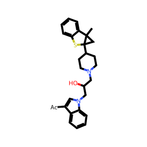 CC(=O)c1cn(CC(O)CN2CCC(C34CC3(C)c3ccccc3S4)CC2)c2ccccc12